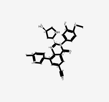 COc1ccc(-n2c([C@@H]3C[C@@H](O)CN3)nc3c(-c4ccc(C)nc4)cc(C#N)cc3c2=O)cc1F